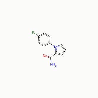 NC(=O)c1cccn1-c1ccc(F)cc1